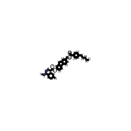 C/C=C(\C=C/CC(=O)Oc1ccc2c(c1)Cc1cc(COC(=O)c3ccc(CCCCC)cc3)ccc1-2)C1CCC(C)CC1